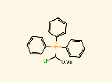 COC(Cl)[PH](c1ccccc1)(c1ccccc1)c1ccccc1